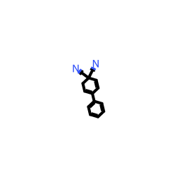 N#CC1(C#N)C=CC(c2ccccc2)=CC1